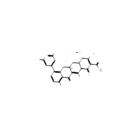 Cc1cc(-c2ccc(O)c3c2C[C@H]2C[C@H]4[C@H](N(C)C)C(O)=C(C(N)=O)C(=O)[C@@]4(O)C(O)=C2C3=O)cc(C)n1